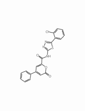 O=C(Nc1nnc(-c2ccccc2Cl)s1)c1cc(-c2ccccc2)cc(=O)o1